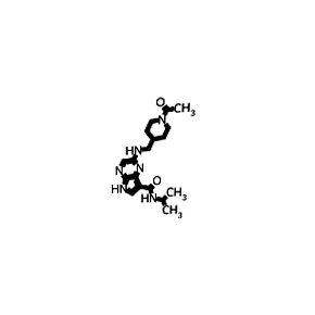 CC(=O)N1CCC(CNc2cnc3[nH]cc(C(=O)NC(C)C)c3n2)CC1